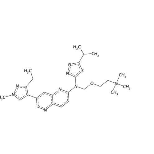 CCc1nn(C)cc1-c1cnc2ccc(N(COCC[Si](C)(C)C)c3nnc(C(C)C)s3)nc2c1